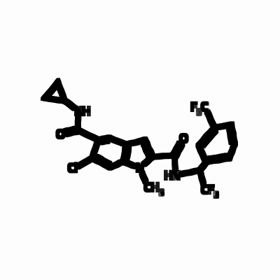 Cn1c(C(=O)NC(c2cccc(C(F)(F)F)c2)C(F)(F)F)cc2cc(C(=O)NC3CC3)c(Cl)cc21